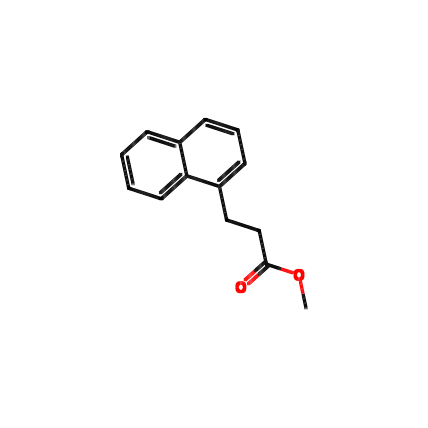 COC(=O)CCc1cccc2ccccc12